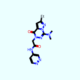 CCc1cc2c(=O)n(CC(=O)Nc3ccnnc3)nc(N(C)C)n2n1